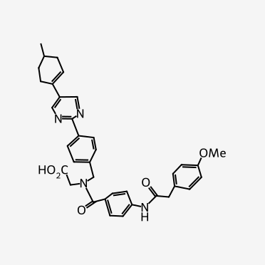 COc1ccc(CC(=O)Nc2ccc(C(=O)N(CC(=O)O)Cc3ccc(-c4ncc(C5=CCC(C)CC5)cn4)cc3)cc2)cc1